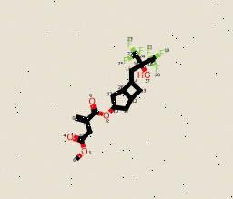 C=C(CC(=O)OC)C(=O)OC1CC2CC(CC(O)(C(F)(F)F)C(F)(F)F)C2C1